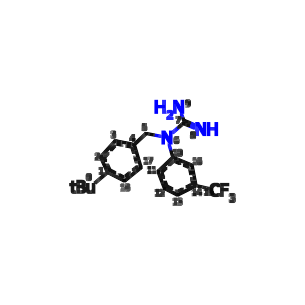 CC(C)(C)c1ccc(CN(C(=N)N)c2cccc(C(F)(F)F)c2)cc1